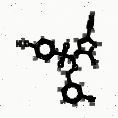 Cc1ccc(S(=O)(=O)[N+](OSc2cccc(Br)c2)=C2C=C(C#N)SC2Br)cc1